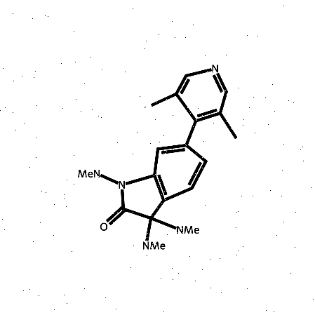 CNN1C(=O)C(NC)(NC)c2ccc(-c3c(C)cncc3C)cc21